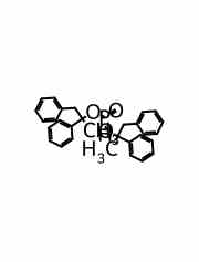 CC(Cc1ccccc1)(O[PH](=O)OC(C)(Cc1ccccc1)c1ccccc1)c1ccccc1